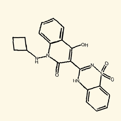 O=c1c(C2=NS(=O)(=O)c3ccccc3N2)c(O)c2ccccc2n1NC1CCC1